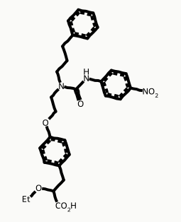 CCOC(Cc1ccc(OCCN(CCCc2ccccc2)C(=O)Nc2ccc([N+](=O)[O-])cc2)cc1)C(=O)O